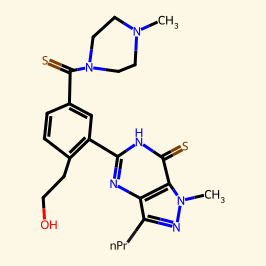 CCCc1nn(C)c2c(=S)[nH]c(-c3cc(C(=S)N4CCN(C)CC4)ccc3CCO)nc12